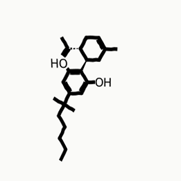 C=C(C)[C@@H]1CC=C(C)C[C@H]1c1c(O)cc(C(C)(C)CCCCC)cc1O